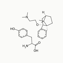 CN(C)CCO[C@]1(c2ccccc2)C[C@H]2CC[C@]1(C)C2(C)C.NC(Cc1ccc(O)cc1)C(=O)O